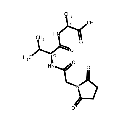 CC(=O)[C@H](C)NC(=O)[C@@H](NC(=O)CN1C(=O)CCC1=O)C(C)C